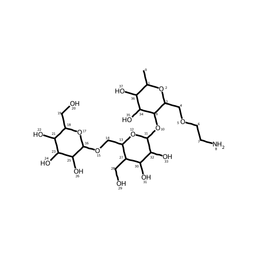 CC1OC(COCCN)C(OC2OC(COC3OC(CO)C(O)C(O)C3O)C(CO)C(O)C2O)C(O)C1O